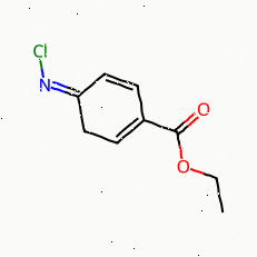 CCOC(=O)C1=CCC(=NCl)C=C1